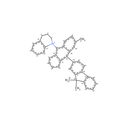 Cc1ccc2c(N3CCCc4ccccc43)c3ccccc3c(-c3ccc4c(c3)C(C)(C)c3ccccc3-4)c2c1